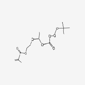 C=C(C)C(=O)OCCOC(C)OC(=O)OOOC(C)(C)C